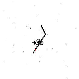 CCCCCCCC/C=C\CCCCCCCC(=O)C(CCCCCCCCCCC)C(=O)O